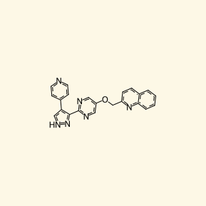 c1ccc2nc(COc3cnc(-c4n[nH]cc4-c4ccncc4)nc3)ccc2c1